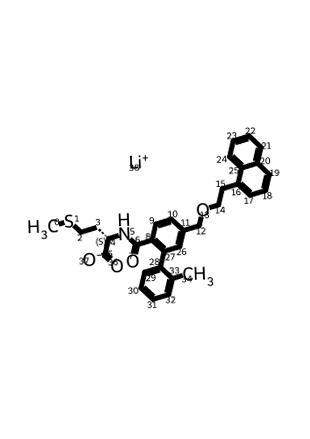 CSCC[C@H](NC(=O)c1ccc(COCCc2cccc3ccccc23)cc1-c1ccccc1C)C(=O)[O-].[Li+]